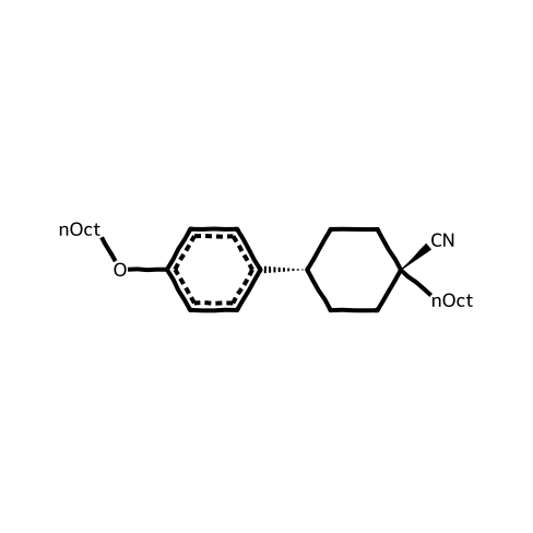 CCCCCCCCOc1ccc([C@H]2CC[C@@](C#N)(CCCCCCCC)CC2)cc1